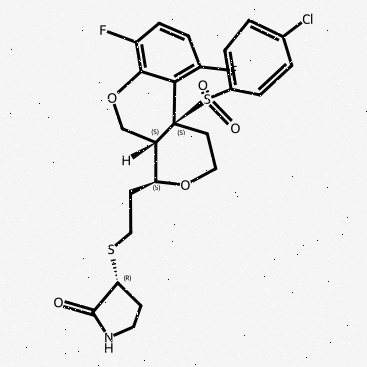 O=C1NCC[C@H]1SCC[C@@H]1OCC[C@@]2(S(=O)(=O)c3ccc(Cl)cc3)c3c(F)ccc(F)c3OC[C@@H]12